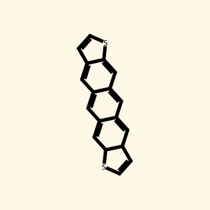 C1=CC2C=c3cc4cc5sccc5cc4cc3=CC2S1